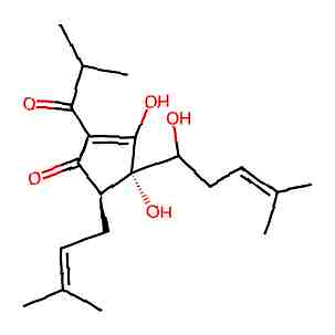 CC(C)=CCC(O)[C@]1(O)C(O)=C(C(=O)C(C)C)C(=O)[C@@H]1CC=C(C)C